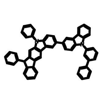 c1ccc(-c2cccc(-n3c4ccccc4c4cc(-c5ccc6c(c5)c5cc7c(cc5n6-c5ccccc5)C(c5ccccc5)c5ccccc5-7)ccc43)c2)cc1